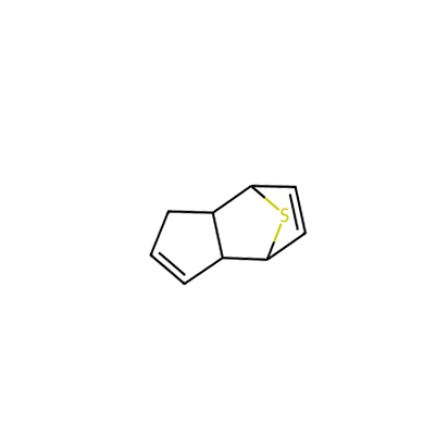 C1=CC2C3C=CC(S3)C2C1